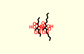 CCCC(=O)C(O)C(O)(CO)C(=O)CCC.CCCCCC(=O)C(O)C(O)(CO)C(=O)CCCCC